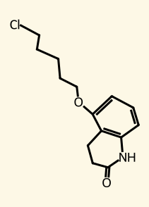 O=C1CCc2c(cccc2OCCCCCCl)N1